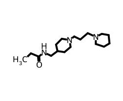 CCC(=O)NCC1CCN(CCCN2CCCCC2)CC1